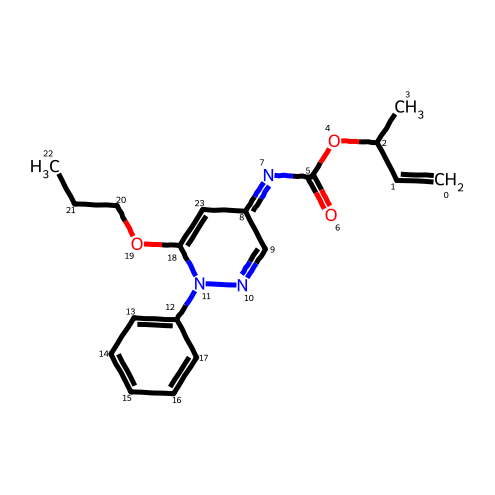 C=CC(C)OC(=O)N=c1cnn(-c2ccccc2)c(OCCC)c1